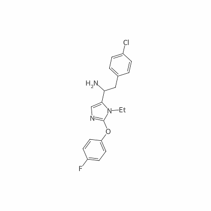 CCn1c(C(N)Cc2ccc(Cl)cc2)cnc1Oc1ccc(F)cc1